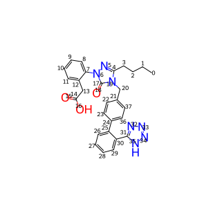 CCCCc1nn(-c2ccccc2CC(=O)O)c(=O)n1Cc1ccc(-c2ccccc2-c2nnn[nH]2)cc1